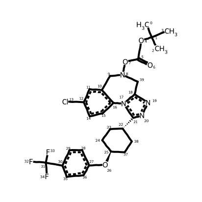 CC(C)(C)OC(=O)ON1Cc2cc(Cl)ccc2-n2c(nnc2[C@H]2CC[C@H](Oc3ccc(C(F)(F)F)cc3)CC2)C1